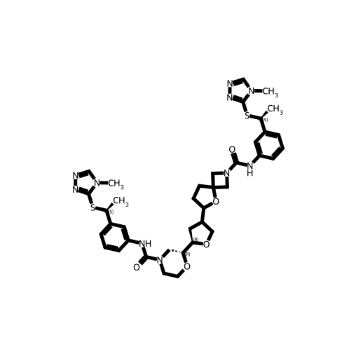 C[C@H](Sc1nncn1C)c1cccc(NC(=O)N2CCO[C@@H]([C@H]3CC(C4CCC5(CN(C(=O)Nc6cccc([C@H](C)Sc7nncn7C)c6)C5)O4)CO3)C2)c1